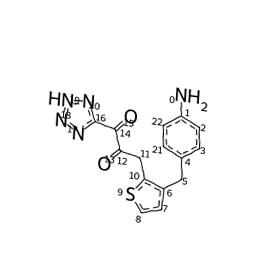 Nc1ccc(Cc2ccsc2CC(=O)C(=O)c2nn[nH]n2)cc1